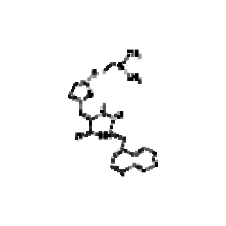 CN(C)CCSc1ccc(/C=c2\[nH]c(=O)/c(=C/c3ccnc4ccccc34)[nH]c2=O)s1